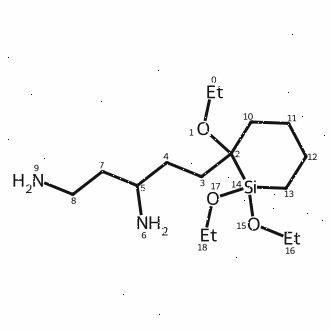 CCOC1(CCC(N)CCN)CCCC[Si]1(OCC)OCC